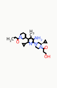 C=CC(=O)N1CCC=C(c2c(C3CC3)nc(N3CCN(C(=O)CCO)[C@H](C4CC4)C3)c(N)c2C)C1